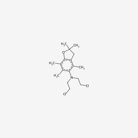 Cc1c(C)c(N(CCCl)CCCl)c(C)c2c1OC(C)(C)C2